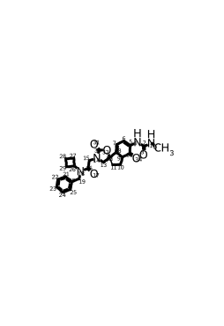 CNC(=O)NC1=CC=C2C(CC[C@]23CN(CC(=O)N(Cc2ccccc2)C2CCC2)C(=O)O3)C1=O